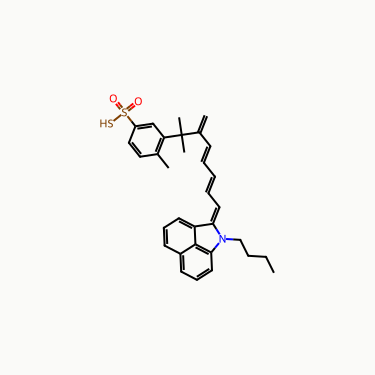 C=C(/C=C/C=C/C=c1\c2cccc3cccc(c32)n1CCCC)C(C)(C)c1cc(S(=O)(=O)S)ccc1C